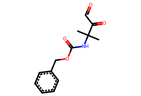 CC(C)(NC(=O)OCc1ccccc1)C(=O)C=O